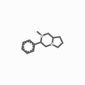 CN1CC2CCCN2CC1c1ccccc1